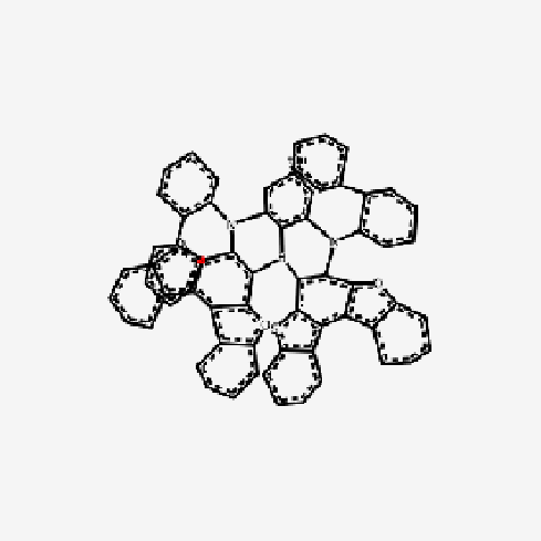 CC(C)(C)c1cc2c3c(c1)N(c1ccccc1-c1ccccc1)c1c(c4sc5ccccc5c4c4c1oc1ccccc14)B3c1c(c3oc4ccccc4c3c3c1oc1ccccc13)N2c1ccccc1-c1ccccc1